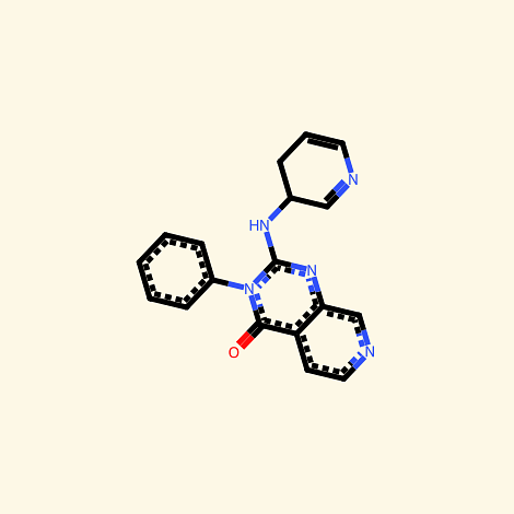 O=c1c2ccncc2nc(NC2C=NC=CC2)n1-c1ccccc1